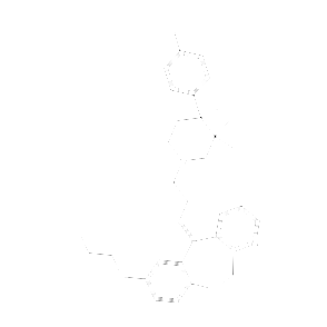 CC1(C)CN(CCC=C2c3cc(OCCO)ccc3OCc3ncccc32)CCC1(O)c1ccc(Cl)cc1